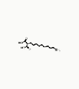 NCCCCCCCCCC(C(=O)O)C(=O)O